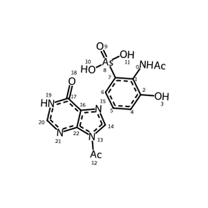 CC(=O)Nc1c(O)cccc1[As](=O)(O)O.CC(=O)n1cnc2c(=O)[nH]cnc21